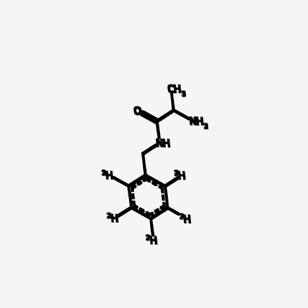 [2H]c1c([2H])c([2H])c(CNC(=O)C(C)N)c([2H])c1[2H]